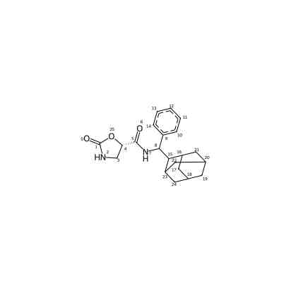 O=C1NC[C@@H](C(=O)NC(c2ccccc2)C2C3CC4CC(C3)CC2C4)O1